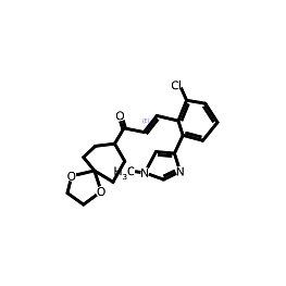 Cn1cnc(-c2cccc(Cl)c2/C=C/C(=O)C2CCC3(CC2)OCCO3)c1